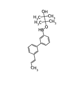 C/C=C/c1cccc(-c2cccc(BOC(C)(C)C(C)(C)O)c2)c1